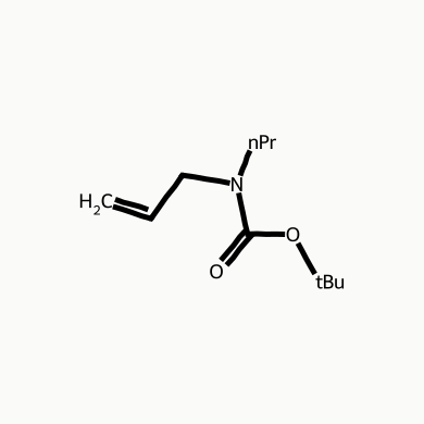 [CH2]CCN(CC=C)C(=O)OC(C)(C)C